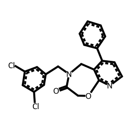 O=C1COc2nccc(-c3ccccc3)c2CN1Cc1cc(Cl)cc(Cl)c1